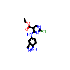 CCOC(=O)c1cnc(Cl)nc1Nc1ccc2[nH]ncc2c1